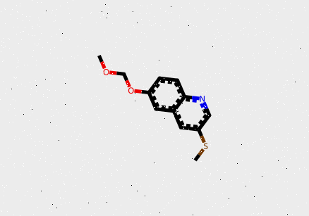 COCOc1ccc2ncc(SC)cc2c1